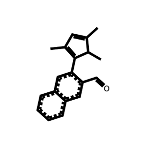 CC1=CC(C)=C(c2cc3ccccc3cc2C=O)C1C